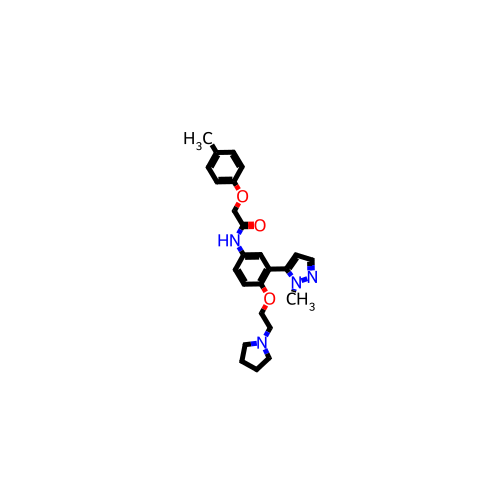 Cc1ccc(OCC(=O)Nc2ccc(OCCN3CCCC3)c(-c3ccnn3C)c2)cc1